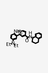 CCN(CC)c1ccc(N)c(-c2cc(C(=O)N[C@H]3CCCc4ccccc43)ccn2)c1